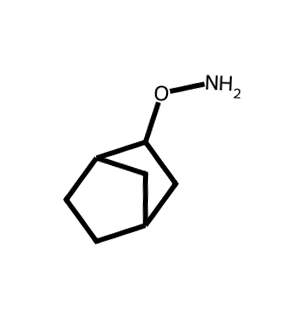 NOC1CC2CCC1C2